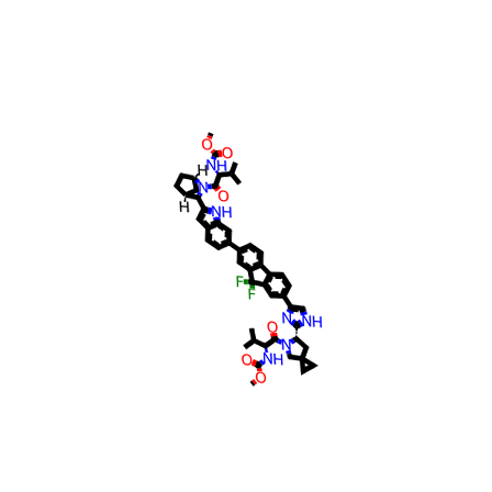 COC(=O)N[C@H](C(=O)N1CC2(CC2)C[C@H]1c1nc(-c2ccc3c(c2)C(F)(F)c2cc(-c4ccc5cc(C6[C@H]7CC[C@H](C7)N6C(=O)[C@@H](NC(=O)OC)C(C)C)[nH]c5c4)ccc2-3)c[nH]1)C(C)C